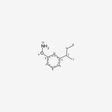 CCC(C)c1cccc(ON)c1